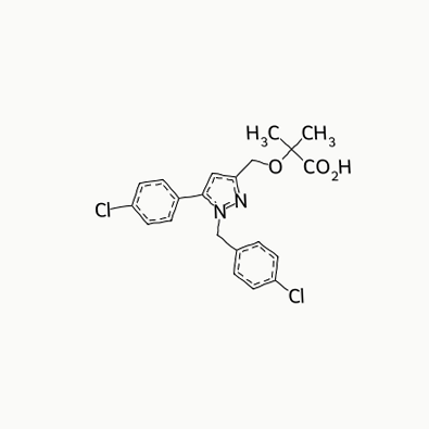 CC(C)(OCc1cc(-c2ccc(Cl)cc2)n(Cc2ccc(Cl)cc2)n1)C(=O)O